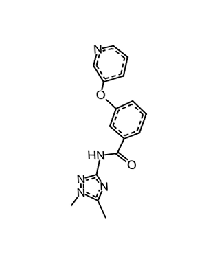 Cc1nc(NC(=O)c2cccc(Oc3cccnc3)c2)nn1C